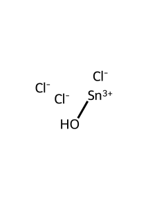 [Cl-].[Cl-].[Cl-].[OH][Sn+3]